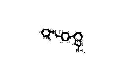 Nc1nc2cccc(-c3ccc(CNc4ccccc4F)cc3)n2n1